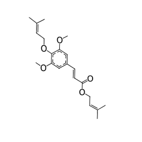 COc1cc(C=CC(=O)OCC=C(C)C)cc(OC)c1OCC=C(C)C